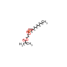 C=C(C)C(=O)OCCCOP(=O)(O)CCCCCCCCCC